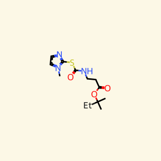 CCC(C)(C)OC(=O)CCNC(=O)Sc1nccn1C